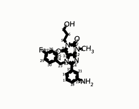 Cn1c(=O)n(CCCO)c(=O)c2c1nc(-c1cccc(N)c1)n2Cc1ccc(F)cc1